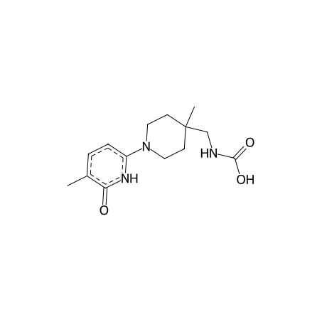 Cc1ccc(N2CCC(C)(CNC(=O)O)CC2)[nH]c1=O